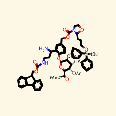 COC(=O)[C@H]1O[C@@H](Oc2ccc(COC(=O)N3CCOC3CCCO[Si](c3ccccc3)(c3ccccc3)C(C)(C)C)cc2C(N)CCNC(=O)OCC2c3ccccc3-c3ccccc32)[C@@H](OC(C)=O)[C@H](OC(C)=O)[C@@H]1OC(C)=O